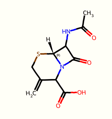 C=C1CS[C@@H]2C(NC(C)=O)C(=O)N2C1C(=O)O